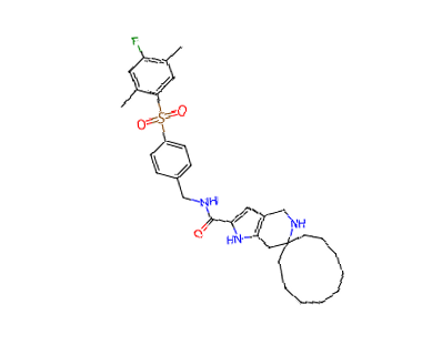 Cc1cc(S(=O)(=O)c2ccc(CNC(=O)c3cc4c([nH]3)CC3(CCCCCCCCC3)NC4)cc2)c(C)cc1F